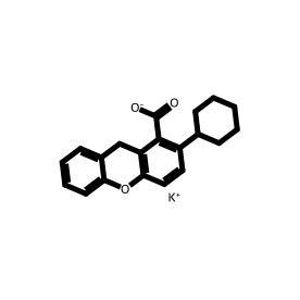 O=C([O-])c1c(C2CCCCC2)ccc2c1Cc1ccccc1O2.[K+]